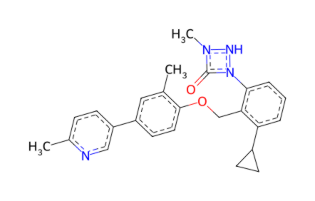 Cc1ccc(-c2ccc(OCc3c(C4CC4)cccc3-n3[nH]n(C)c3=O)c(C)c2)cn1